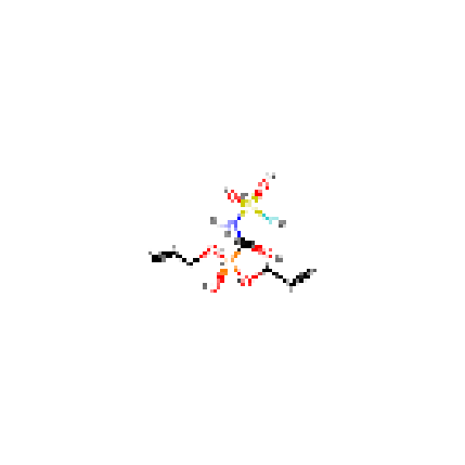 C=CCOP(=O)(OCC=C)C(=O)N(C)S(=O)(=O)F